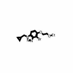 CCOCCOc1ccc2c(nnn2CC2CC2)c1Br